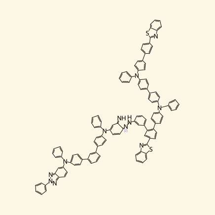 N=C1C=C(N(c2ccccc2)c2ccc(-c3cccc(-c4ccc(N(c5ccccc5)c5ccc6nn(-c7ccccc7)nc6c5)cc4)c3)cc2)C=C/C1=N/Nc1cccc(-c2cc(-c3nc4ccccc4s3)ccc2-c2ccc(N(c3ccccc3)c3ccc(-c4ccc(N(c5ccccc5)c5ccc(-c6ccc(-c7nc8ccccc8s7)cc6)cc5)cc4)cc3)cc2)c1